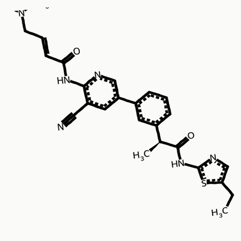 CCc1cnc(NC(=O)[C@@H](C)c2cccc(-c3cnc(NC(=O)/C=C/CN(C)C)c(C#N)c3)c2)s1